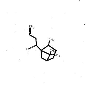 C=C[CH]C(CC)C12CC(CCC1C)C2(C)C